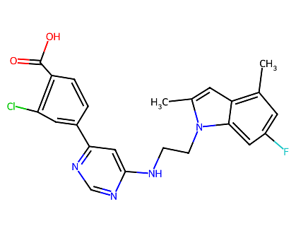 Cc1cc(F)cc2c1cc(C)n2CCNc1cc(-c2ccc(C(=O)O)c(Cl)c2)ncn1